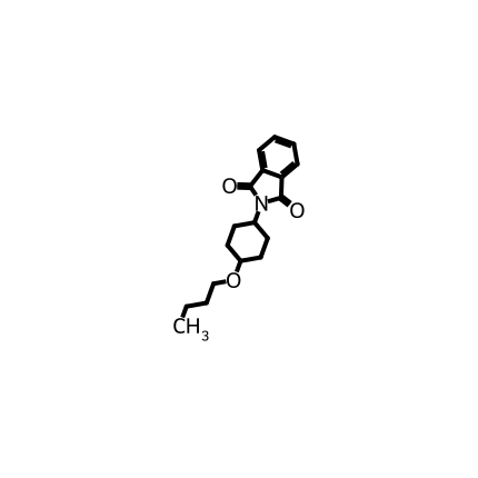 CCCCOC1CCC(N2C(=O)c3ccccc3C2=O)CC1